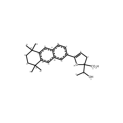 CC(O)C1(C(=O)O)CC=C(c2ccc3cc4c(cc3c2)C(C)(C)CCC4(C)C)O1